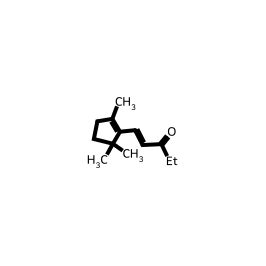 CCC(=O)C=CC1=C(C)CCC1(C)C